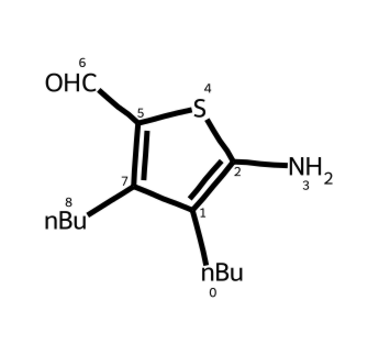 CCCCc1c(N)sc(C=O)c1CCCC